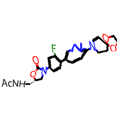 CC(=O)NC[C@H]1CN(c2ccc(-c3ccc(N4CCC5(CC4)OCCO5)nc3)c(F)c2)C(=O)O1